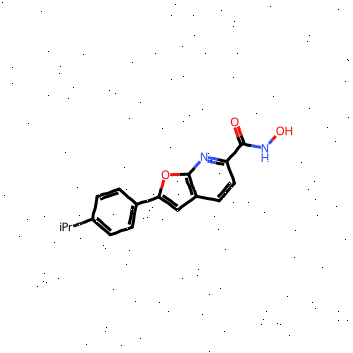 CC(C)c1ccc(-c2cc3ccc(C(=O)NO)nc3o2)cc1